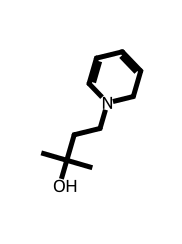 CC(C)(O)CCN1C=CC=CC1